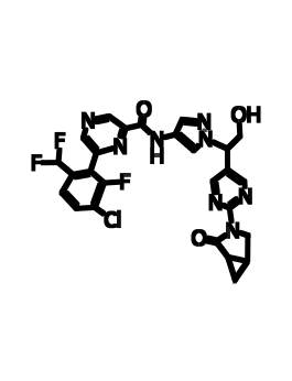 O=C(Nc1cnn(C(CO)c2cnc(N3CC4CC4C3=O)nc2)c1)c1cncc(-c2c(C(F)F)ccc(Cl)c2F)n1